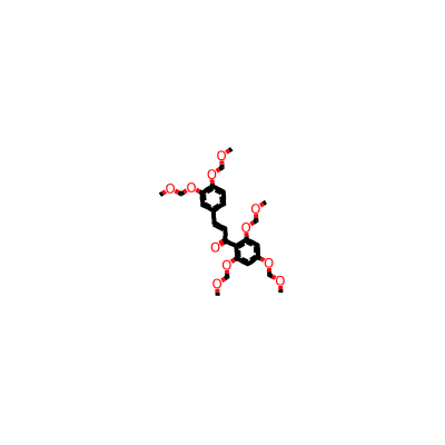 COCOc1cc(OCOC)c(C(=O)C=Cc2ccc(OCOC)c(OCOC)c2)c(OCOC)c1